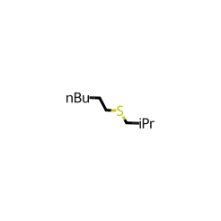 [CH2]CCCCCSCC(C)C